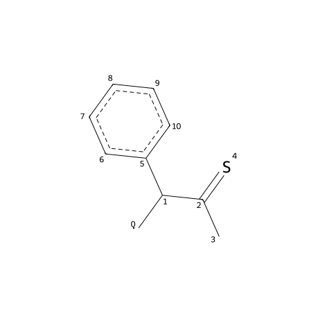 [CH2]C(C(C)=S)c1ccccc1